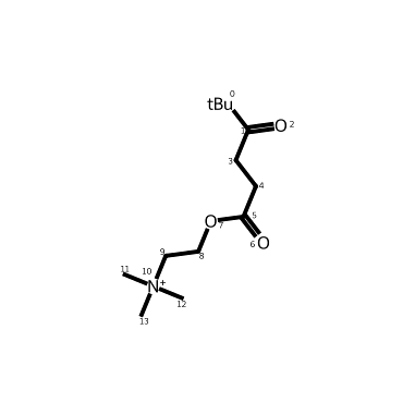 CC(C)(C)C(=O)CCC(=O)OCC[N+](C)(C)C